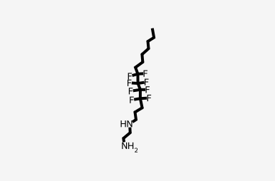 CCCCCCCC(F)(F)C(F)(F)C(F)(F)C(F)(F)CCCNCCN